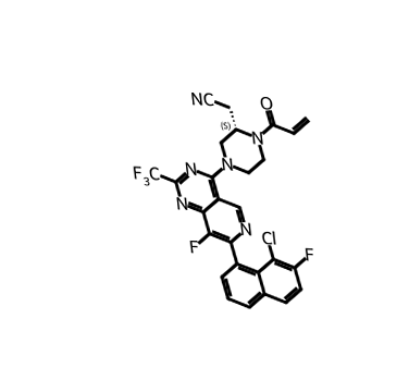 C=CC(=O)N1CCN(c2nc(C(F)(F)F)nc3c(F)c(-c4cccc5ccc(F)c(Cl)c45)ncc23)C[C@@H]1CC#N